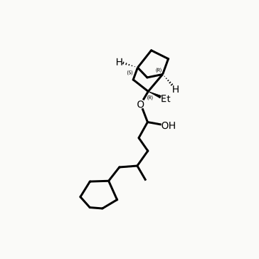 CC[C@@]1(OC(O)CCC(C)CC2CCCCC2)C[C@H]2CC[C@@H]1C2